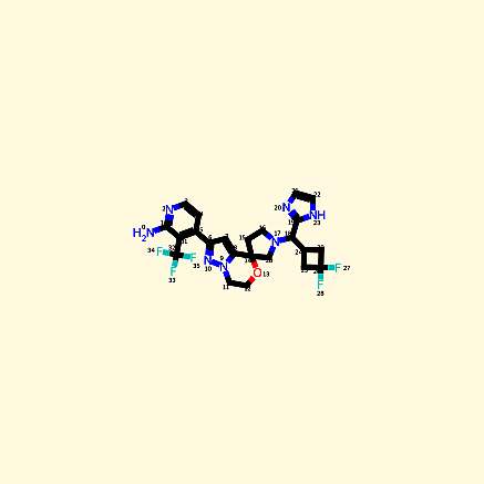 Nc1nccc(-c2cc3n(n2)CCOC32CCN(C(c3ncc[nH]3)C3CC(F)(F)C3)C2)c1C(F)(F)F